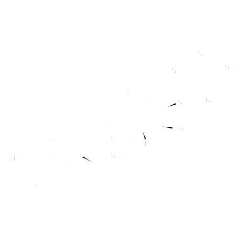 CC(C)C(=O)OC[C@@H](N[P@]1(=O)OC[C@H]2O[C@@H](n3cnc4c(N)ncnc43)[C@](C)(Cl)[C@@H]2O1)C(C)C